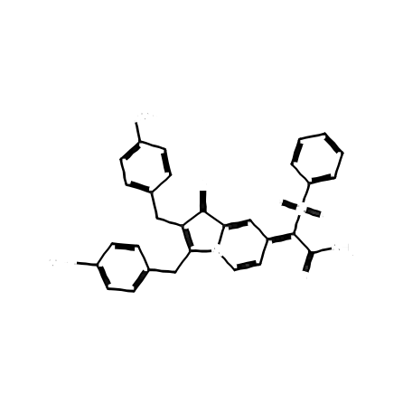 COc1ccc(CC2=C(Cc3ccc(OC)cc3)N3C=CC(=C(C(N)=O)S(=O)(=O)c4ccccc4)C=C3C2=O)cc1